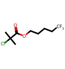 CC(C)(Cl)C(=O)OCCCCC(F)(F)F